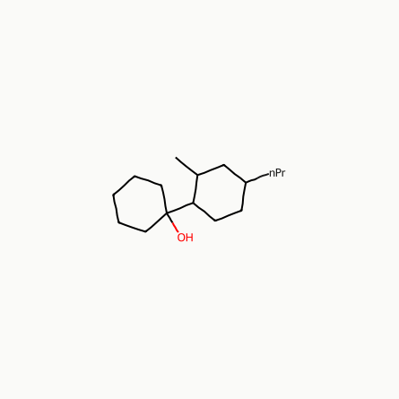 CCCC1CCC(C2(O)CCCCC2)C(C)C1